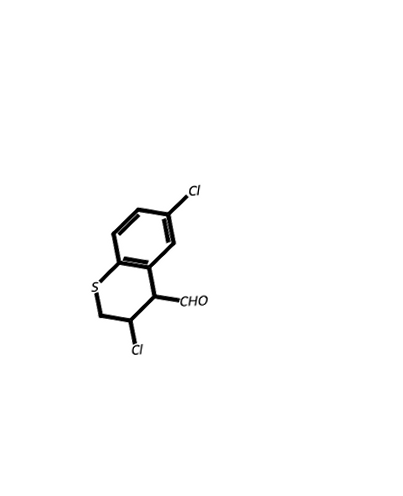 O=CC1c2cc(Cl)ccc2SCC1Cl